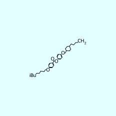 C=CCCCC1CCC(COc2ccc(OC(=O)c3ccc(OCCCCCC(C)CC)cc3)cc2)CC1